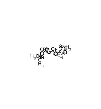 Cc1nc2cc(-c3cccn4c(C(=O)c5ccc(F)c(C(C=CC(N)=O)N[C@@H]6CCC[C@@H](F)C6)c5F)ccc34)c(C(F)(F)F)cc2n1C